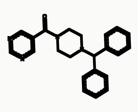 O=C(c1cncnc1)N1CCN(C(c2ccccc2)c2ccccc2)CC1